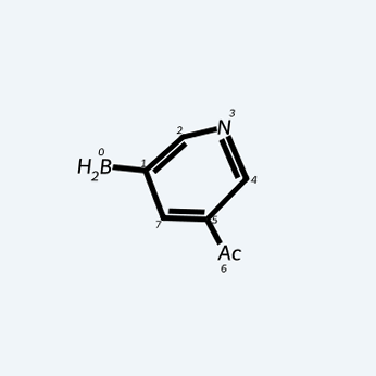 Bc1cncc(C(C)=O)c1